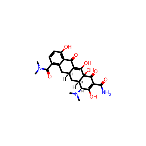 CN(C)C(=O)c1ccc(O)c2c1C[C@H]1C[C@H]3[C@H](N(C)C)C(O)=C(C(N)=O)C(=O)C3(O)C(O)=C1C2=O